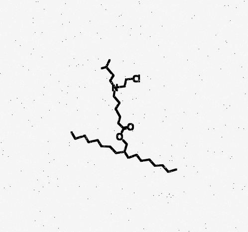 CCCCCCCCC(CCCCCCCC)COC(=O)CCCCCN(CCCl)CCC(C)C